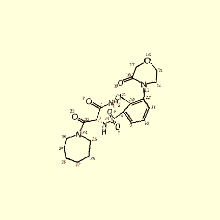 NC(=O)[C@H](NS(=O)(=O)c1cccc(N2CCOCC2=O)c1Cl)C(=O)N1CCCCCC1